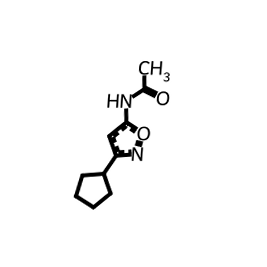 CC(=O)Nc1cc(C2CCCC2)no1